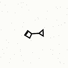 C1=C[C](C2CC2)C1